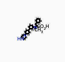 CN(c1cccc(-c2ccc(N3CCNCC3)cc2)c1)C(Cc1ccccc1)C(=O)O